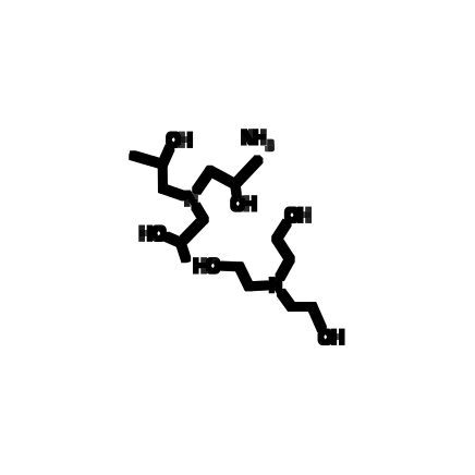 CC(O)CN(CC(C)O)CC(C)O.N.OCCN(CCO)CCO